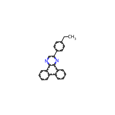 CCc1ccc(-c2cnc3c4ccccc4c4ccccc4c3n2)cc1